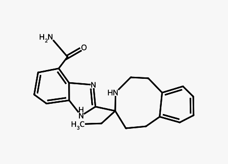 CCC1(c2nc3c(C(N)=O)cccc3[nH]2)CCc2ccccc2CCN1